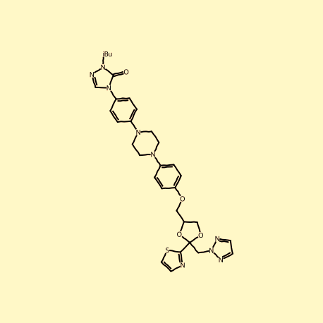 CCC(C)n1ncn(-c2ccc(N3CCN(c4ccc(OCC5COC(Cn6nccn6)(c6nccs6)O5)cc4)CC3)cc2)c1=O